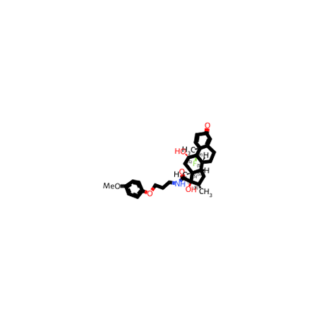 COc1ccc(OCCCNC(=O)[C@@]2(O)[C@H](C)C[C@H]3[C@@H]4CCC5=CC(=O)C=C[C@]5(C)[C@@]4(F)[C@@H](O)C[C@@]32C)cc1